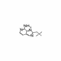 CC(C)(C)Cc1ncc2ccnc(N)c2n1